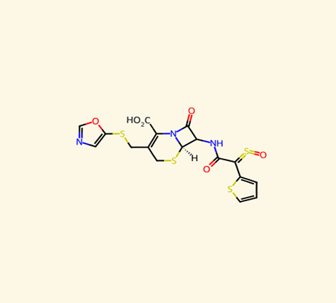 O=S=C(C(=O)NC1C(=O)N2C(C(=O)O)=C(CSc3cnco3)CS[C@H]12)c1cccs1